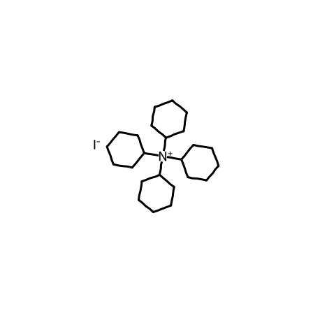 C1CCC([N+](C2CCCCC2)(C2CCCCC2)C2CCCCC2)CC1.[I-]